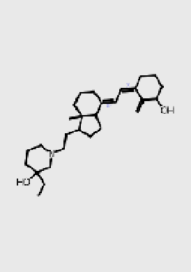 C=C1/C(=C\C=C2/CCCC3(C)C(CCN4CCCC(O)(CC)C4)CCC23)CCCC1O